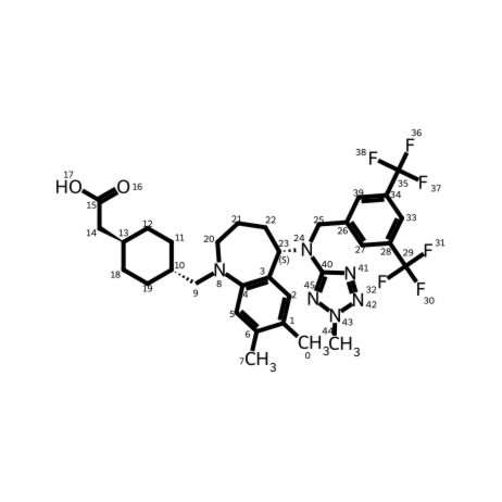 Cc1cc2c(cc1C)N(C[C@H]1CC[C@H](CC(=O)O)CC1)CCC[C@@H]2N(Cc1cc(C(F)(F)F)cc(C(F)(F)F)c1)c1nnn(C)n1